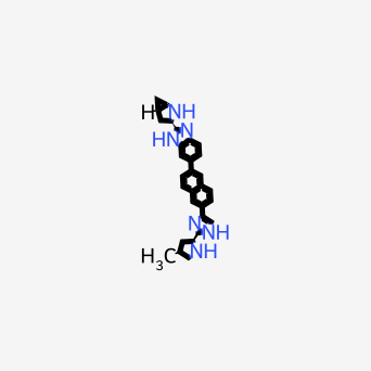 C[C@H]1CN[C@H](c2nc(-c3ccc4cc(-c5ccc6nc([C@@H]7C[C@H]8CC8N7)[nH]c6c5)ccc4c3)c[nH]2)C1